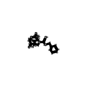 C[C@H]1[C@@H]2CN(C(=O)OCc3ccccc3)[C@@H]1C(=O)OCC2=O